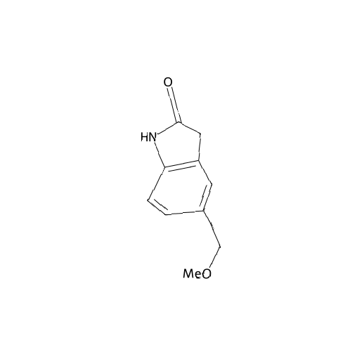 COCc1ccc2c(c1)CC(=O)N2